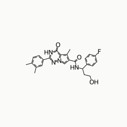 Cc1ccc(-c2nn3cc(C(=O)NC(CCO)c4ccc(F)cc4)c(C)c3c(=O)[nH]2)cc1C